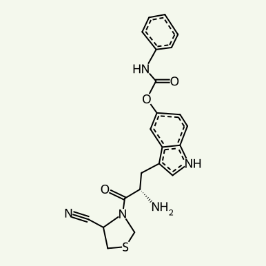 N#CC1CSCN1C(=O)[C@@H](N)Cc1c[nH]c2ccc(OC(=O)Nc3ccccc3)cc12